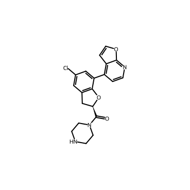 O=C([C@H]1Cc2cc(Cl)cc(-c3ccnc4occc34)c2O1)N1CCNCC1